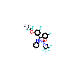 O=C(N[C@](Cc1ccccc1)(c1ccc(F)cc1)c1cc(F)cc(OC(F)(F)C(F)(F)F)c1)N1CC(F)(F)C(F)(F)C1